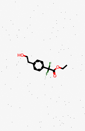 CCOC(=O)C(F)(F)c1ccc(CCO)cc1